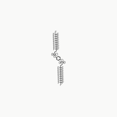 O=S(=O)(CCC(F)(F)C(F)(F)C(F)(F)C(F)(F)C(F)(F)C(F)(F)C(F)(F)C(F)(F)F)Oc1ccc(OS(=O)(=O)CCC(F)(F)C(F)(F)C(F)(F)C(F)(F)C(F)(F)C(F)(F)C(F)(F)C(F)(F)F)cc1